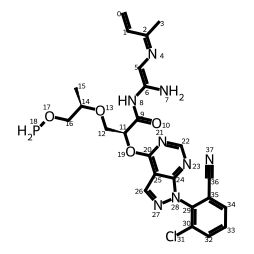 C=C/C(C)=N\C=C(/N)NC(=O)[C@H](CO[C@H](C)COP)Oc1ncnc2c1cnn2-c1c(Cl)cccc1C#N